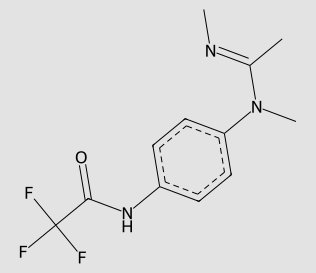 CN=C(C)N(C)c1ccc(NC(=O)C(F)(F)F)cc1